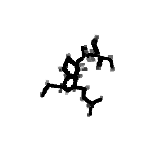 CCn1cc(CCN(C)C)c2cc(NS(=O)(=O)CC)ccc21